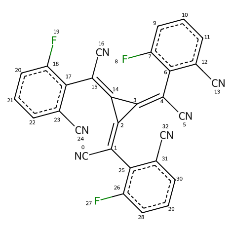 N#CC(=C1C(=C(C#N)c2c(F)cccc2C#N)C1=C(C#N)c1c(F)cccc1C#N)c1c(F)cccc1C#N